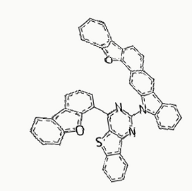 c1ccc2c(c1)oc1c(-c3nc(-n4c5ccccc5c5cc6ccc7c8ccccc8oc7c6cc54)nc4c3sc3ccccc34)cccc12